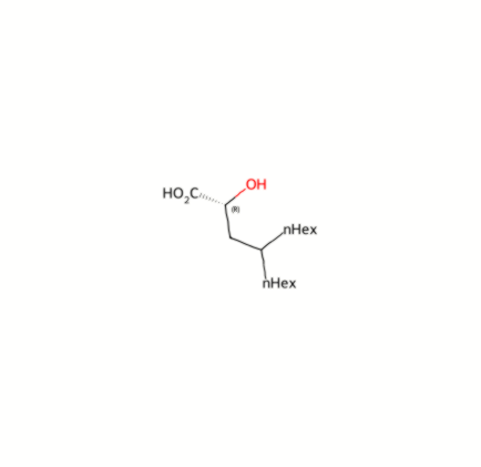 CCCCCCC(CCCCCC)C[C@@H](O)C(=O)O